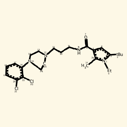 CCn1c(C(C)(C)C)cc(C(=O)NCCCN2CCN(c3cccc(Cl)c3Cl)CC2)c1C